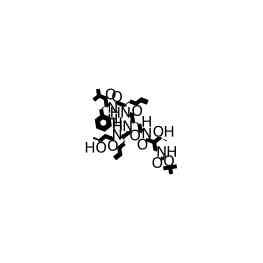 C=CCC[C@H](NC(=O)C[C@H](C)O)C(=O)N[C@@H](CCNC(=O)C(CNC(=O)OC(C)(C)C)[C@@H](C)O)C(=O)N[C@@H](CCC=C)C(=O)N[C@H](Cc1ccccc1)C(=O)C(C)C